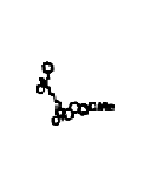 COc1ccc2c(c1)CCC1C2CC[C@]2(C)C(=O)C[C@@H](CCCCCC(=O)N(C)Cc3ccccc3)C12